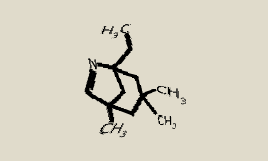 CCC12CC(C)(C)CC(C)(C=N1)C2